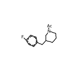 CC(=O)N1CCCC(Cc2ccc(F)cc2)C1